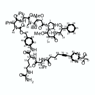 CC[C@H](C)[C@@H]([C@@H](CC(=O)N1CCC[C@H]1[C@H](OC)[C@@H](C)C(=O)N[C@H](C)[C@@H](O)c1ccccc1)OC)N(C)C(=O)[C@@H](NC(=O)[C@H](C(C)C)N(C)C(=O)OCc1ccc(NC(=O)[C@H](CCCNC(N)=O)NC(=O)[C@@H](NC(=O)CCCC#Cc2cnc(S(C)(=O)=O)nc2)C(C)C)cc1)C(C)C